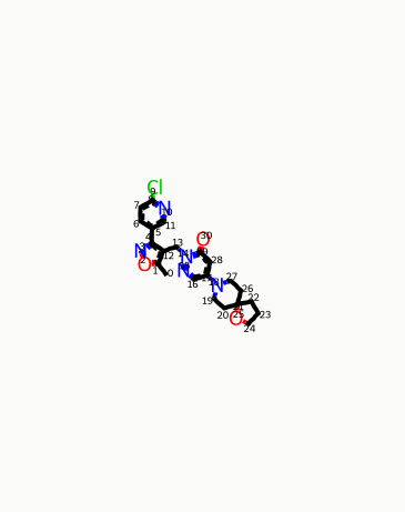 Cc1onc(-c2ccc(Cl)nc2)c1Cn1ncc(N2CCC3(CCCO3)CC2)cc1=O